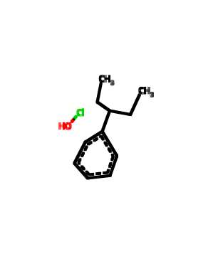 CCC(CC)c1ccccc1.OCl